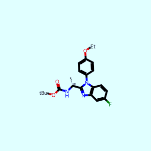 CCOc1ccc(-n2c([C@@H](C)NC(=O)OC(C)(C)C)nc3cc(F)ccc32)cc1